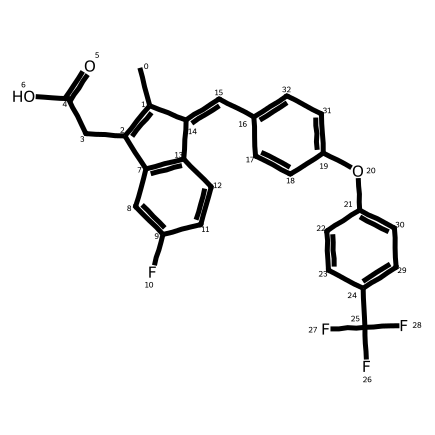 CC1=C(CC(=O)O)c2cc(F)ccc2/C1=C\c1ccc(Oc2ccc(C(F)(F)F)cc2)cc1